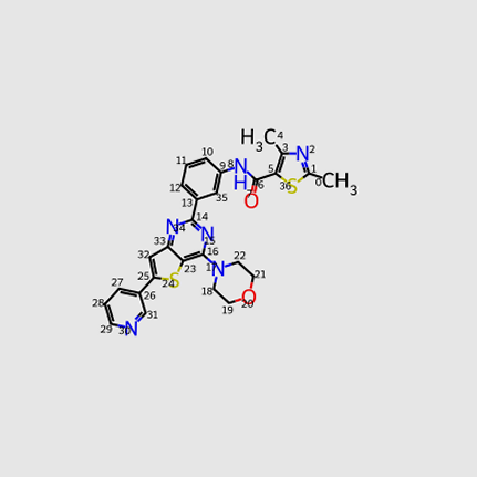 Cc1nc(C)c(C(=O)Nc2cccc(-c3nc(N4CCOCC4)c4sc(-c5cccnc5)cc4n3)c2)s1